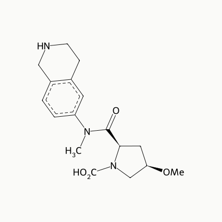 CO[C@@H]1C[C@H](C(=O)N(C)c2ccc3c(c2)CCNC3)N(C(=O)O)C1